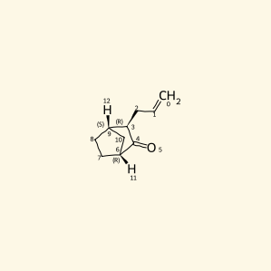 C=CC[C@H]1C(=O)[C@@H]2CC[C@H]1C2